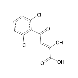 O=C(O)C(O)=CC(=O)c1c(Cl)cccc1Cl